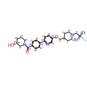 CCC(F)(CC)CN1CCC(COc2ccc(-c3ccc(C(=O)N4CCC[C@@H](O)C4)cc3)nc2)CC1